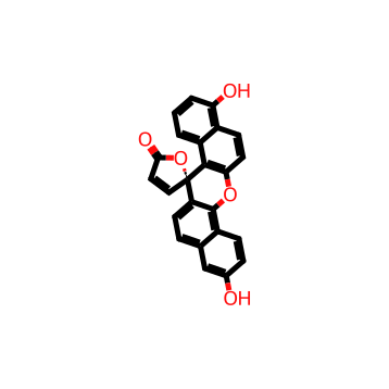 O=C1C=C[C@]2(O1)c1ccc3cc(O)ccc3c1Oc1ccc3c(O)cccc3c12